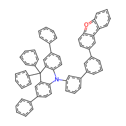 c1ccc(-c2ccc3c(c2)C(c2ccccc2)(c2ccccc2)c2cc(-c4ccccc4)ccc2N3c2cccc(-c3cccc(-c4ccc5oc6ccccc6c5c4)c3)c2)cc1